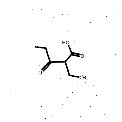 CCC(C(=O)O)C(=O)CI